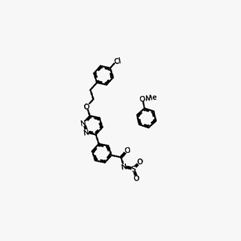 COc1ccccc1.O=C(N=S(=O)=O)c1cccc(-c2ccc(OCCc3ccc(Cl)cc3)nn2)c1